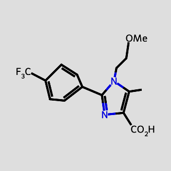 COCCn1c(-c2ccc(C(F)(F)F)cc2)nc(C(=O)O)c1C